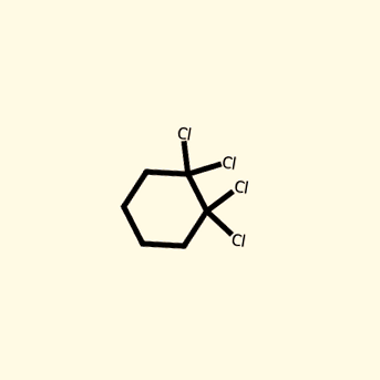 ClC1(Cl)CCCCC1(Cl)Cl